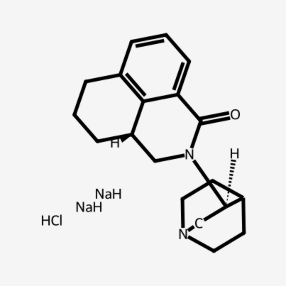 Cl.O=C1c2cccc3c2[C@@H](CCC3)CN1[C@@H]1CN2CCC1CC2.[NaH].[NaH]